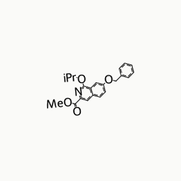 COC(=O)c1cc2ccc(OCc3ccccc3)cc2c(OC(C)C)n1